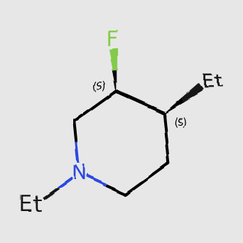 CC[C@H]1CCN(CC)C[C@H]1F